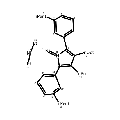 CCCCCCCCC1=C(c2cccc(CCCCC)c2)[N+](=[N-])C(c2cccc(CCCCC)c2)=C1CCCC.C[CH2][Ni][CH2]C